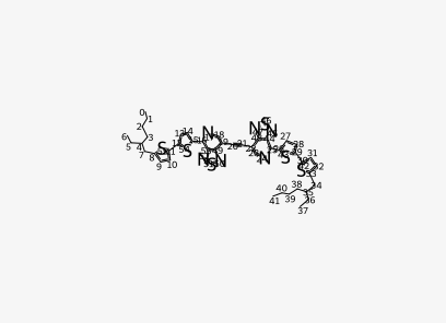 CCCCC(CC)Cc1ccc(-c2ccc(-c3ncc(C#Cc4cnc(-c5ccc(-c6ccc(CC(CC)CCCC)s6)s5)c5nsnc45)c4nsnc34)s2)s1